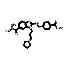 CCCCN(CCCC)C(=O)c1ccc2nc(NCc3ccc(C(=O)OC)cc3)n(CCCN3CCCC3)c2c1